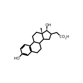 C[C@]12CCC3c4ccc(O)cc4CCC3C1CC(CC(=O)O)[C@@H]2O